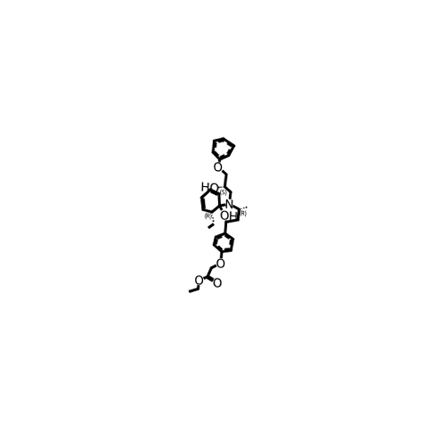 CCOC(=O)COc1ccc(CC[C@@H](C)N(C[C@H](O)COc2ccccc2)C2(O)C=CC=C[C@H]2CC)cc1